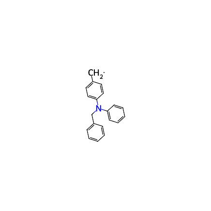 [CH2]c1ccc(N(Cc2ccccc2)c2ccccc2)cc1